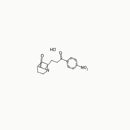 Cl.O=C(CCC1C(=O)C2CCN1CC2)c1ccc([N+](=O)[O-])cc1